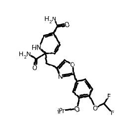 CC(C)Oc1cc(-c2nc(CC3(C(N)=O)C=CC(C(N)=O)=CN3)co2)ccc1OC(F)F